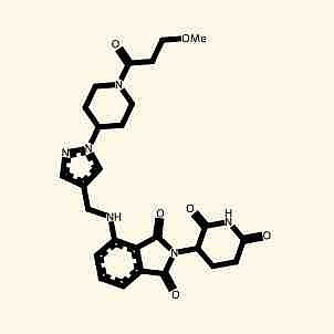 COCCC(=O)N1CCC(n2cc(CNc3cccc4c3C(=O)N(C3CCC(=O)NC3=O)C4=O)cn2)CC1